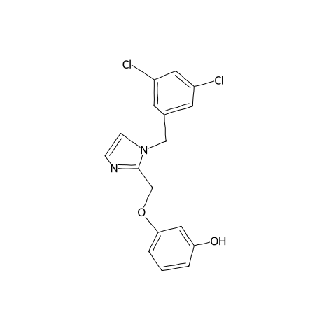 Oc1cccc(OCc2nccn2Cc2cc(Cl)cc(Cl)c2)c1